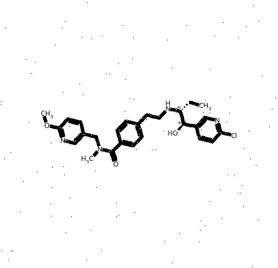 CC[C@@H](NCCc1ccc(C(=O)N(C)Cc2ccc(OC)nc2)cc1)[C@H](O)c1ccc(Cl)nc1